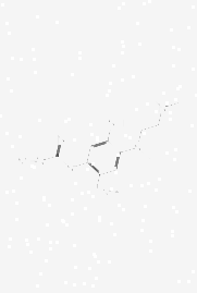 CNC(=N)Nc1cc(N)c(N(C)CCN(C)C)cc1OC